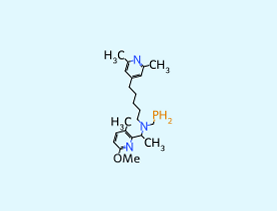 COc1ccc(C)c(C(C)N(CP)CCCCCc2cc(C)nc(C)c2)n1